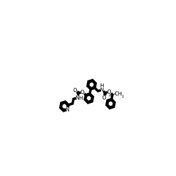 C[C@@H](OC(=O)NCc1ccccc1-c1ccccc1OC(=O)NCCc1ccccn1)c1ccccc1